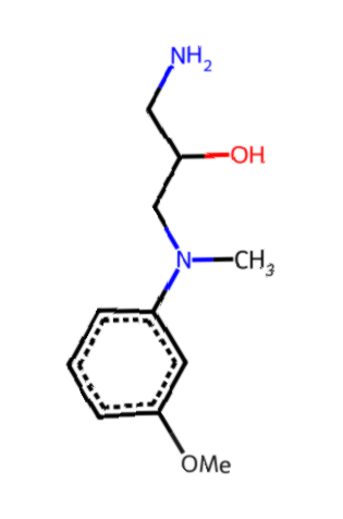 COc1cccc(N(C)CC(O)CN)c1